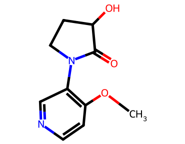 COc1ccncc1N1CCC(O)C1=O